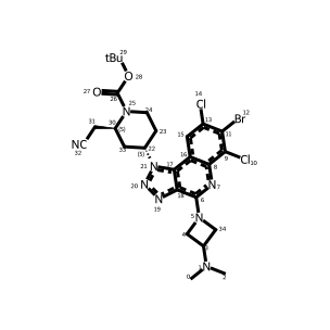 CN(C)C1CN(c2nc3c(Cl)c(Br)c(Cl)cc3c3c2nnn3[C@H]2CCN(C(=O)OC(C)(C)C)[C@H](CC#N)C2)C1